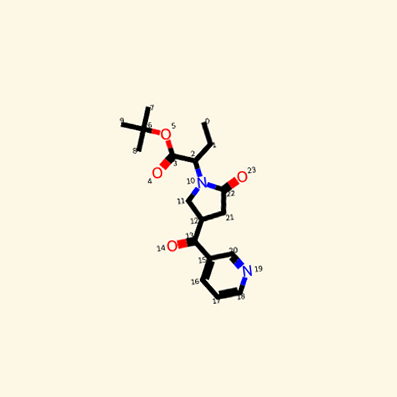 CCC(C(=O)OC(C)(C)C)N1CC(C(=O)c2cccnc2)CC1=O